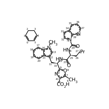 C1=CCCC=C1.Cc1oc([C@@H](Cc2cn(C)c3ccccc23)NC(=O)[C@H](CC(C)C)NC(=O)n2ccc3cccnc32)nc1C(=O)O